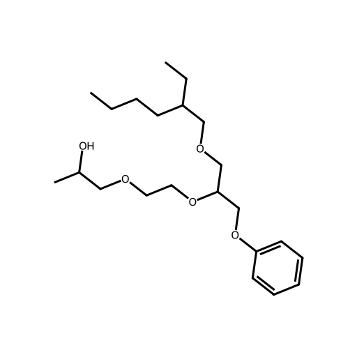 CCCCC(CC)COCC(COc1ccccc1)OCCOCC(C)O